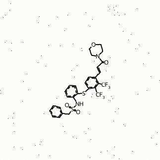 O=C(/C=C/c1ccc(Sc2ccccc2NS(=O)(=O)Cc2ccccc2)c(C(F)(F)F)c1C(F)(F)F)N1CCOCC1